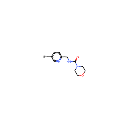 CC(C)c1ccc(CNC(=O)N2CCOCC2)nc1